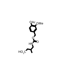 COc1cc(COC(=O)NCC(C)CC(=O)O)ccc1OC(C)=O